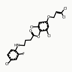 O=C(CCCNc1ccc(Cl)cc1F)Oc1c(Cl)cc(OCC=C(Cl)Cl)cc1Cl